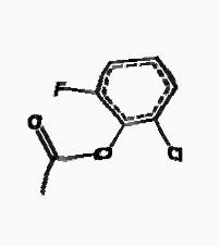 CC(=O)Oc1c(F)cccc1Cl